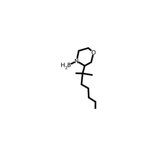 BN1CCOCC1C(C)(C)CCCCC